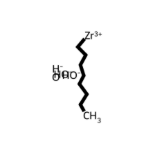 CCCCCCC[CH2][Zr+3].[OH-].[OH-].[OH-]